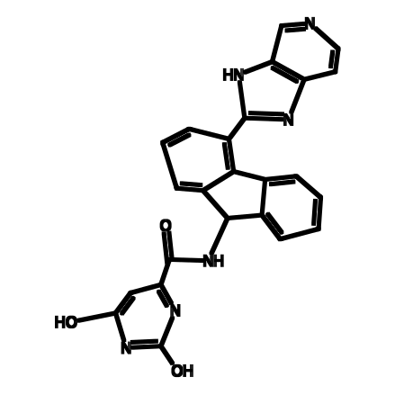 O=C(NC1c2ccccc2-c2c(-c3nc4ccncc4[nH]3)cccc21)c1cc(O)nc(O)n1